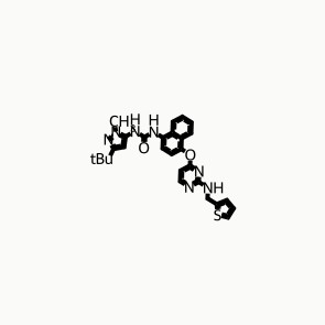 Cn1nc(C(C)(C)C)cc1NC(=O)Nc1ccc(Oc2ccnc(NCc3cccs3)n2)c2ccccc12